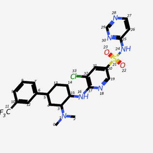 CN(C)C1CC(c2cccc(C(F)(F)F)c2)CCC1Nc1ncc(S(=O)(=O)Nc2ccncn2)cc1Cl